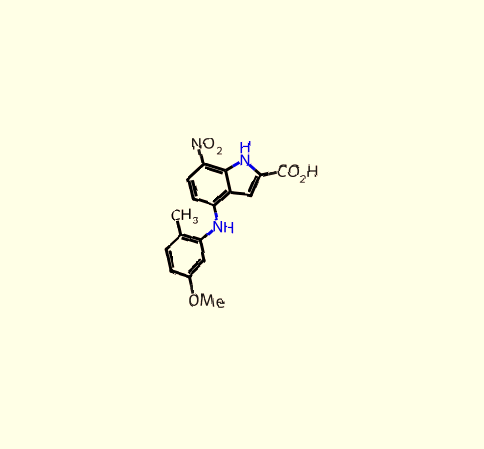 COc1ccc(C)c(Nc2ccc([N+](=O)[O-])c3[nH]c(C(=O)O)cc23)c1